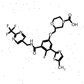 Cc1cnc(-c2cc(OCC3CN(C(=O)O)CCO3)cc(C(=O)NCc3cnc(C(F)(F)F)nc3)c2F)s1